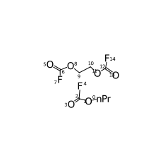 CCCOC(=O)F.O=C(F)OCCOC(=O)F